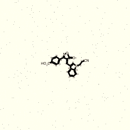 N#CCCn1cc(C=C2C(=O)ON=C2c2ccc(C(=O)O)cc2)c2ccccc21